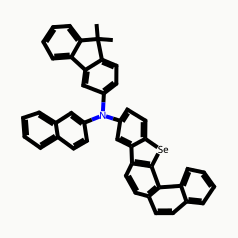 CC1(C)c2ccccc2-c2cc(N(c3ccc4ccccc4c3)c3ccc4[se]c5c(ccc6ccc7ccccc7c65)c4c3)ccc21